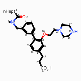 CCCCCCCC(=O)N(C)Cc1cccc(-c2ccc(CCC(=O)O)cc2OCCN2CCNCC2)c1